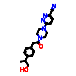 CC(CO)c1ccc(CC(=O)N2CCN(c3ccc(C#N)nn3)CC2)cc1